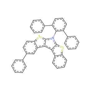 c1ccc(-c2ccc3sc4c(c3c2)c2c3ccccc3sc2n4-c2c(-c3ccccc3)cccc2-c2ccccc2)cc1